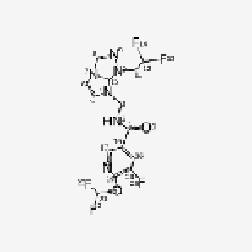 O=C(NCN1C=CN2C=NN(CC(F)F)C21)c1cnc(OC(F)F)c(F)c1